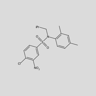 Cc1ccc(N(CC(C)C)S(=O)(=O)c2ccc(Cl)c([N+](=O)[O-])c2)c(C)c1